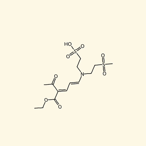 CCOC(=O)/C(=C/C=C/N(CCS(C)(=O)=O)CCS(=O)(=O)O)C(C)=O